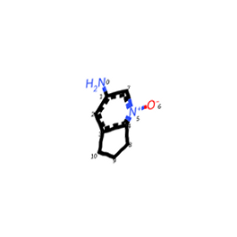 Nc1cc2c([n+]([O-])c1)CCC2